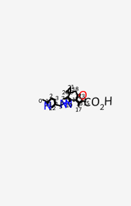 Cc1ccc(Cn2cc3c(n2)-c2c(oc(C(=O)O)c2C)CC32CC2)cn1